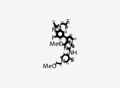 COCCN1CC[C@H](Nc2nc(OC)c3c(-c4cc(F)c5nc(C)n(CC(F)F)c5c4)ccn3n2)[C@H](F)C1